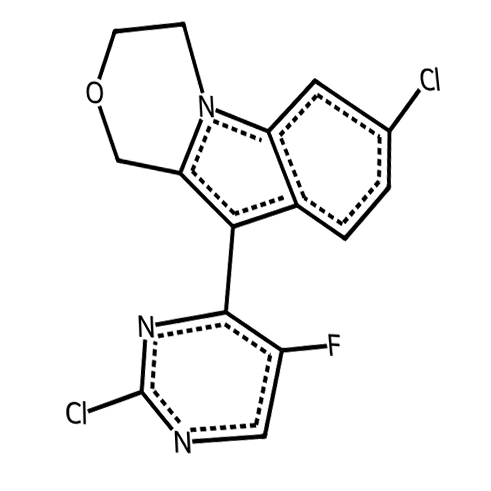 Fc1cnc(Cl)nc1-c1c2n(c3cc(Cl)ccc13)CCOC2